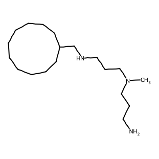 CN(CCCN)CCCNCC1CCCCCCCCCC1